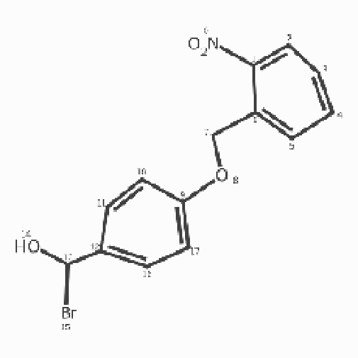 O=[N+]([O-])c1ccccc1COc1ccc(C(O)Br)cc1